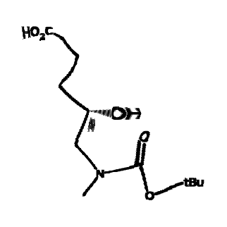 CN(C[C@@H](O)CCC(=O)O)C(=O)OC(C)(C)C